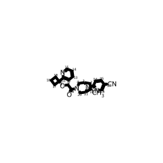 C[C@H]1CC2CN(C(=O)COC3(c4ccccn4)CCC3)CC1N2c1ccc(C#N)cn1